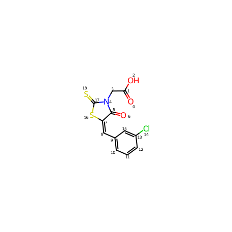 O=C(O)CN1C(=O)/C(=C\c2cccc(Cl)c2)SC1=S